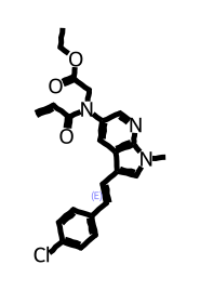 C=CC(=O)N(CC(=O)OCC)c1cnc2c(c1)c(/C=C/c1ccc(Cl)cc1)cn2C